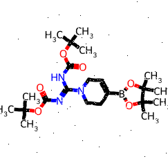 CC(C)(C)OC(=O)N=C(NC(=O)OC(C)(C)C)N1CC=C(B2OC(C)(C)C(C)(C)O2)CC1